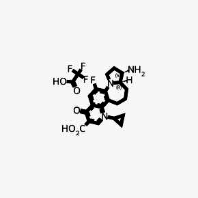 N[C@H]1CCN2c3c(F)cc4c(=O)c(C(=O)O)cn(C5CC5)c4c3CCC[C@H]12.O=C(O)C(F)(F)F